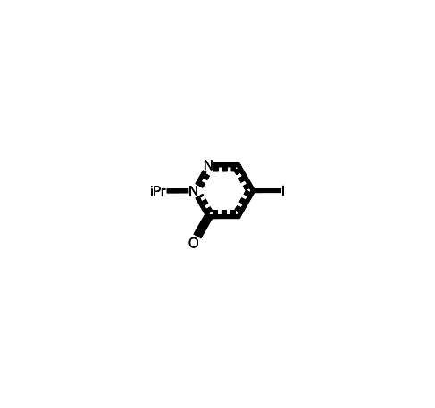 CC(C)n1ncc(I)cc1=O